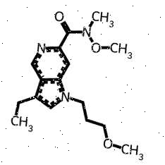 CCc1cn(CCCOC)c2cc(C(=O)N(C)OC)ncc12